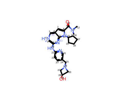 C=C(/N=C1\C(=C/N)C=C(C(=O)N(C)C)N1C1CCCC1)Nc1ccc(CN2CC(O)C2)cn1